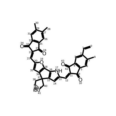 C=Cc1cc2c(cc1C)C(=O)/C(=C/c1cc3c([nH]1)-c1oc(C=C4C(=O)c5cc(C)c(C)cc5C4=O)cc1C3(CC(C)CC)CC(C)CC)C2=O